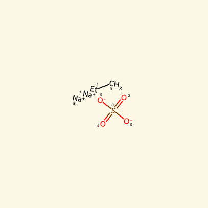 CCC.O=S(=O)([O-])[O-].[Na+].[Na+]